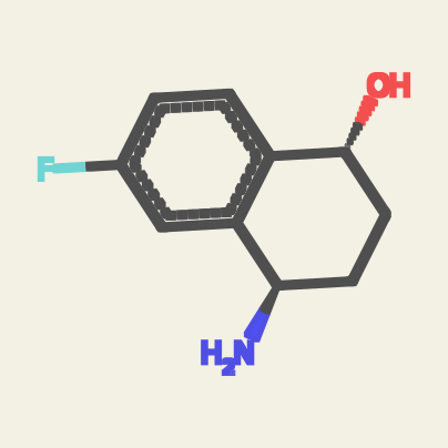 N[C@@H]1CC[C@@H](O)c2ccc(F)cc21